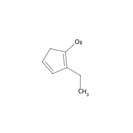 CCC1=[C]([Os])CC=C1